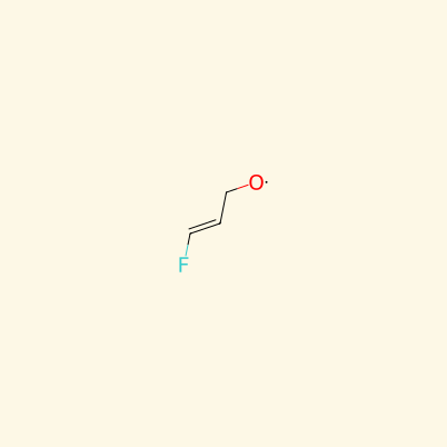 [O]C/C=C/F